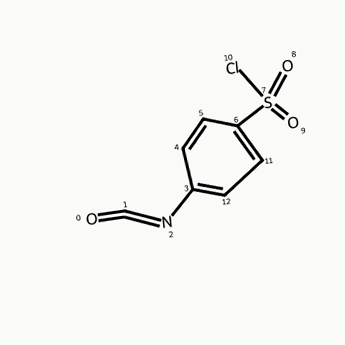 O=C=Nc1ccc(S(=O)(=O)Cl)cc1